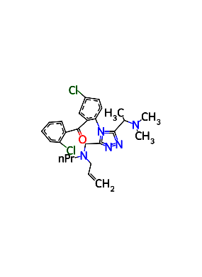 C=CCN(CCC)Cc1nnc(C(C)N(C)C)n1-c1ccc(Cl)cc1C(=O)c1ccccc1Cl